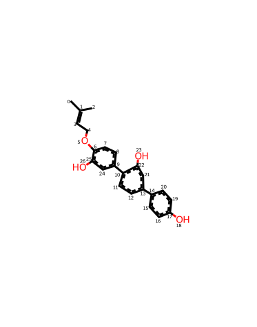 CC(C)=CCOc1ccc(-c2ccc(-c3ccc(O)cc3)cc2O)cc1O